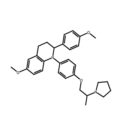 COc1ccc(C2CCc3cc(OC)ccc3N2c2ccc(OCC(C)N3CCCC3)cc2)cc1